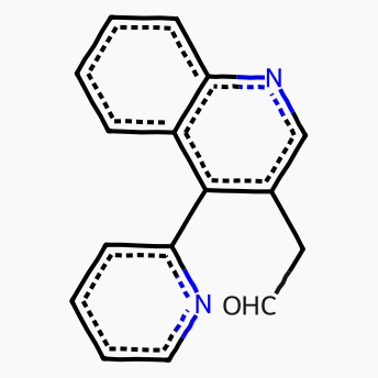 O=CCc1cnc2ccccc2c1-c1ccccn1